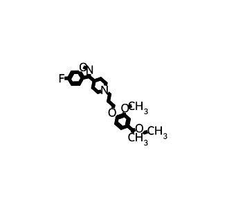 CCOC(C)c1ccc(OCCCN2CCC(c3noc4cc(F)ccc34)CC2)c(OC)c1